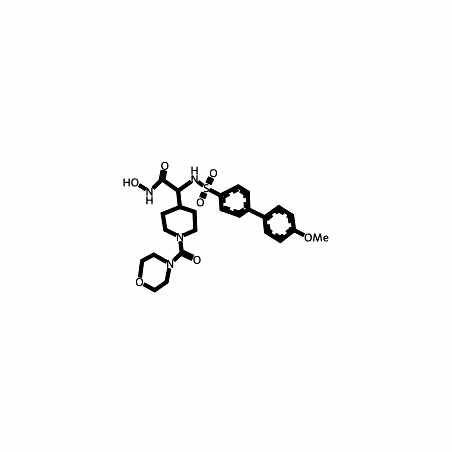 COc1ccc(-c2ccc(S(=O)(=O)NC(C(=O)NO)C3CCN(C(=O)N4CCOCC4)CC3)cc2)cc1